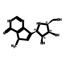 Cn1cc([C@@H]2N[C@H](CO)[C@@H](O)[C@H]2O)c2nc[nH]c(=O)c21